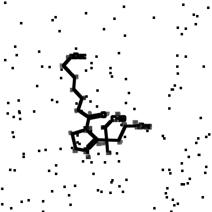 CCCCCCCCCCCCCCCC(=O)N1CCN=C1C(C)(CC=O)CCCCCCCCCCCC